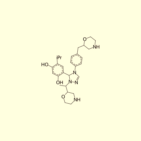 CC(C)c1cc(C2N(c3ccc(CC4CNCCO4)cc3)C=NN2C(C)C2CNCCO2)c(O)cc1O